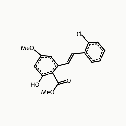 COC(=O)c1c(O)cc(OC)cc1C=Cc1ccccc1Cl